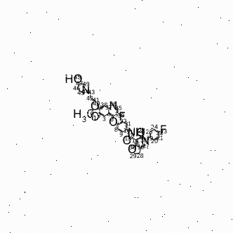 COc1cc2c(Oc3ccc(NC(=O)c4c5c(cn(-c6ccc(F)cc6)c4=O)CCO5)cc3F)ccnc2cc1OCCCN1CCC(O)C1